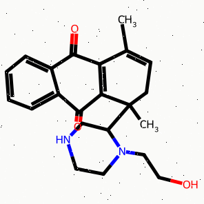 CC1=CCC(C)(C2CNCCN2CCO)C2=C1C(=O)c1ccccc1C2=O